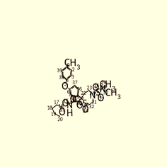 Cc1ccc(Oc2ccc(C3(CC(=O)NOC4CCCCO4)CCN(S(=O)(=O)N(C)C)CCS3(=O)=O)cc2)cc1